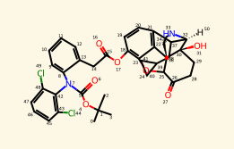 CC(C)(C)OC(=O)N(c1ccccc1CC(=O)Oc1ccc2c3c1OC1C(=O)CC[C@@]4(O)[C@H](NCC[C@]314)C2CC1CC1)c1c(Cl)cccc1Cl